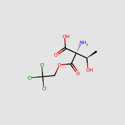 C[C@@H](O)[C@](N)(C(=O)O)C(=O)OCC(Cl)(Cl)Cl